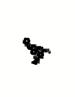 COc1c(Nc2cc(NC(=O)C3CC3)ncc2C(N)=O)cccc1C(=N)/C=C\NC1CCCOC1